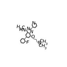 CNc1nc(-c2cccnc2)nc2c(OCCCN(C)C)cc(-c3ccccc3F)cc12